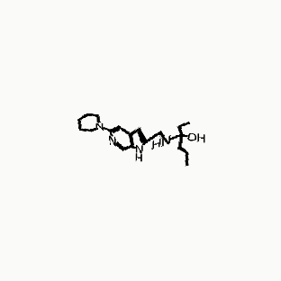 CCCC(O)(CC)NCc1cc2cc(N3CCCCC3)ncc2[nH]1